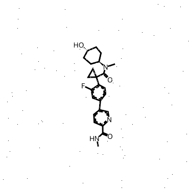 CNC(=O)c1ccc(-c2ccc(C3(C(=O)N(C)[C@H]4CC[C@H](O)CC4)CC3)c(F)c2)cn1